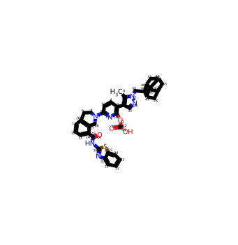 Cc1c(-c2ccc(N3CCc4cccc(C(=O)Nc5nc6ccccc6s5)c4C3)nc2OC(=O)O)cnn1CC1C2CC3CC(C2)CC1C3